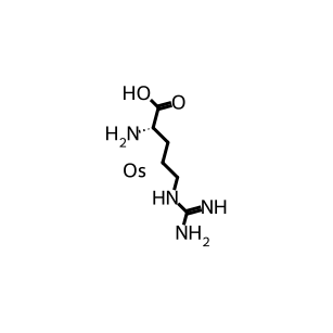 N=C(N)NCCC[C@H](N)C(=O)O.[Os]